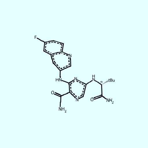 CC(C)(C)[C@@H](Nc1cnc(C(N)=O)c(Nc2cnc3ccc(F)cc3c2)n1)C(N)=O